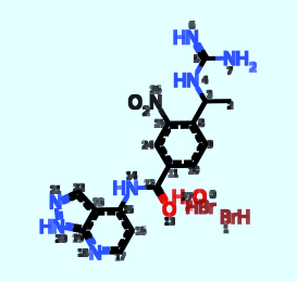 Br.Br.CC(NC(=N)N)c1ccc(C(=O)Nc2ccnc3[nH]ncc23)cc1[N+](=O)[O-].O